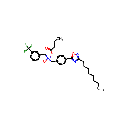 CCCCCCCCc1noc(-c2ccc(C[N+]([O-])(Cc3cccc(C(F)(F)F)c3)OC(=O)CCC)cc2)n1